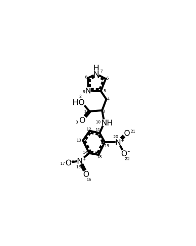 O=C(O)C(Cc1c[nH]cn1)Nc1ccc([N+](=O)[O-])cc1[N+](=O)[O-]